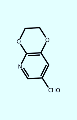 O=Cc1cnc2c(c1)OCCO2